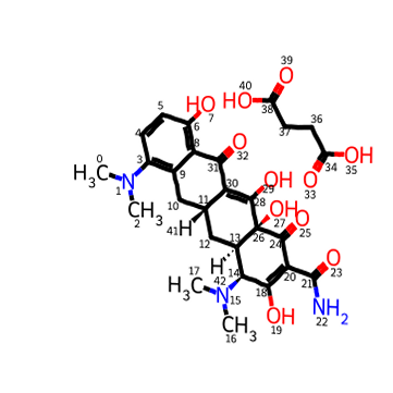 CN(C)c1ccc(O)c2c1C[C@H]1C[C@@H]3[C@H](N(C)C)C(O)=C(C(N)=O)C(=O)[C@@]3(O)C(O)=C1C2=O.O=C(O)CCC(=O)O